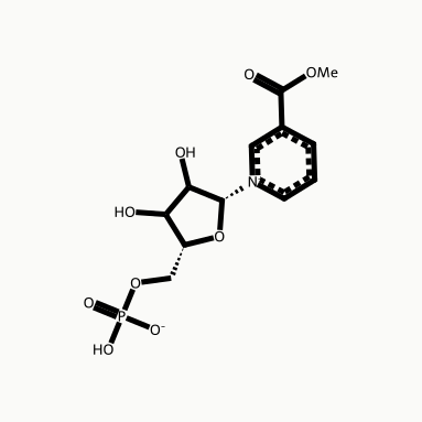 COC(=O)c1ccc[n+]([C@@H]2O[C@H](COP(=O)([O-])O)C(O)C2O)c1